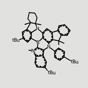 Cn1c2c(c3cc(C(C)(C)C)ccc31)N(c1ccc(C(C)(C)C)cc1)c1c3c(cc4c1C(C)(C)c1ccccc1-4)N1c4c(cc(C(C)(C)C)cc4C4(C)CCCCC14C)B32